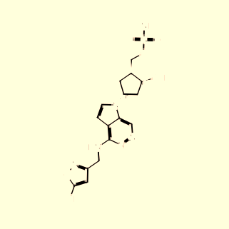 Cc1cc(CNc2nncc3c2ccn3[C@@H]2C[C@@H](COS(N)(=O)=O)[C@@H](O)C2)no1